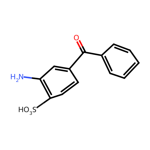 Nc1cc(C(=O)c2ccccc2)ccc1S(=O)(=O)O